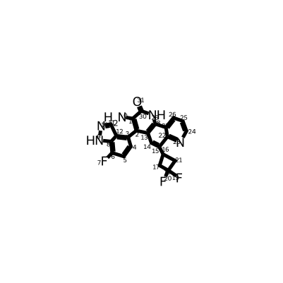 Nc1c(-c2ccc(F)c3[nH]ncc23)c2cc(C3CC(F)(F)C3)c3ncccc3c2[nH]c1=O